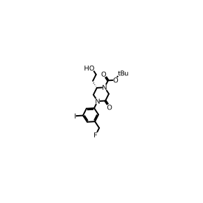 CC(C)(C)OC(=O)N1CC(=O)N(c2cc(I)cc(CF)c2)C[C@@H]1CCO